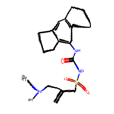 C=C(CN(C(C)C)C(C)C)CS(=O)(=O)NC(=O)Nc1c2c(cc3c1CCC3)CCC2